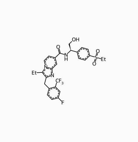 CCc1c(Cc2ccc(F)cc2C(F)(F)F)nc2cc(C(=O)N[C@@H](CO)c3ccc(S(=O)(=O)CC)cc3)ccn12